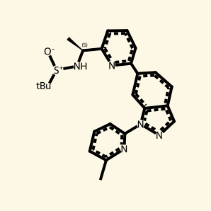 Cc1cccc(-n2ncc3ccc(-c4cccc([C@H](C)N[S+]([O-])C(C)(C)C)n4)cc32)n1